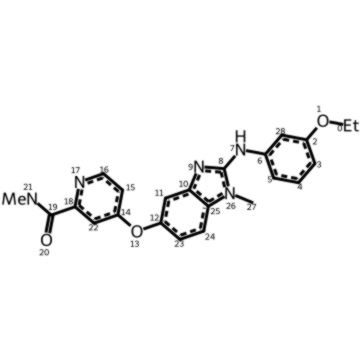 CCOc1cccc(Nc2nc3cc(Oc4ccnc(C(=O)NC)c4)ccc3n2C)c1